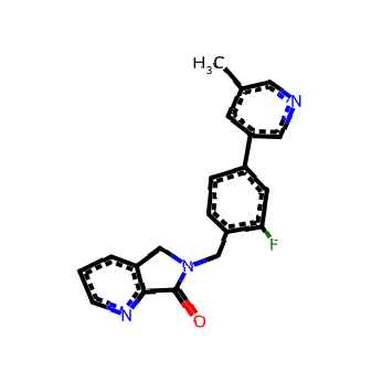 Cc1cncc(-c2ccc(CN3Cc4cccnc4C3=O)c(F)c2)c1